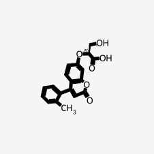 Cc1ccccc1-c1cc(=O)oc2cc(O[C@@H](CO)C(=O)O)ccc12